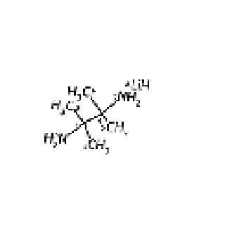 CC(C)(N)C(C)(C)N.[LiH]